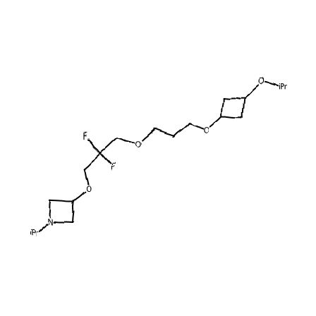 CC(C)OC1CC(OCCCOCC(F)(F)COC2CN(C(C)C)C2)C1